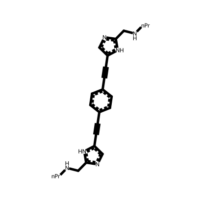 CCCNCc1ncc(C#Cc2ccc(C#Cc3cnc(CNCCC)[nH]3)cc2)[nH]1